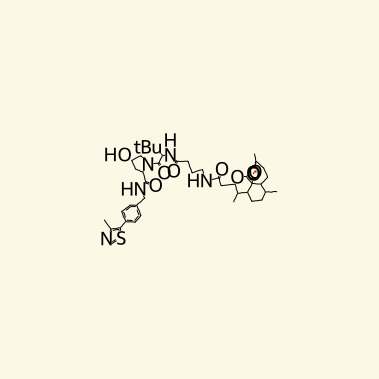 Cc1ncsc1-c1ccc(CNC(=O)C2CC(O)CN2C(=O)C(NC(=O)CCCNC(=O)CC2OC3OC4(C)CCC5C(C)CCC(C2C)C35OO4)C(C)(C)C)cc1